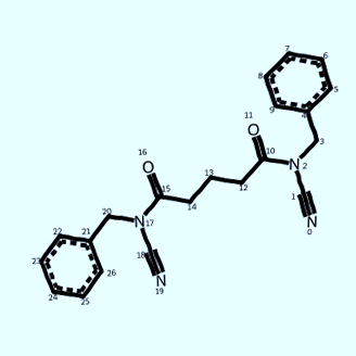 N#CN(Cc1ccccc1)C(=O)CCCC(=O)N(C#N)Cc1ccccc1